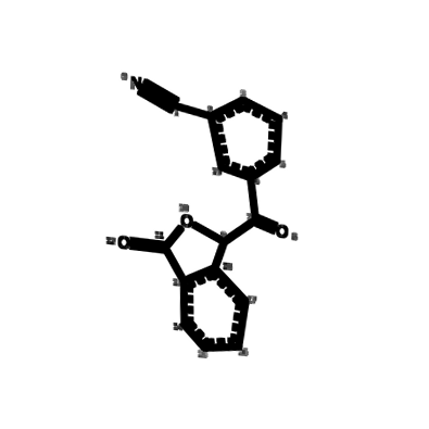 N#Cc1cccc(C(=O)C2OC(=O)c3ccccc32)c1